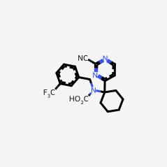 N#Cc1nccc(C2(N(Cc3cccc(C(F)(F)F)c3)C(=O)O)CCCCC2)n1